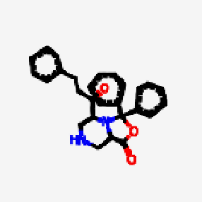 O=C(CCc1ccccc1)C1CNCC2C(=O)OC(c3ccccc3)(c3ccccc3)N12